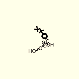 CC(C)(C)CC(C)(C)c1ccc(OP(=O)(O)OCOCCO)cc1